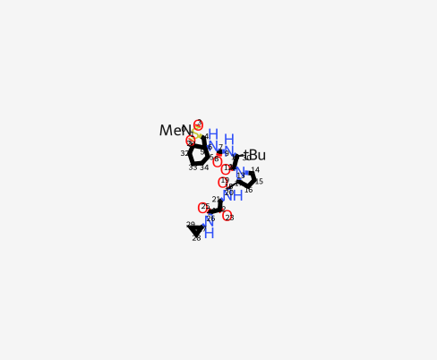 CNS(=O)(=O)CC1(NC(=O)N[C@H](C(=O)N2CCC[C@H]2C(=O)NCC(=O)C(=O)NC2CC2)C(C)(C)C)CCCCC1